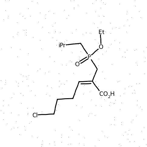 CCOP(=O)(CC(=CCCCCl)C(=O)O)CC(C)C